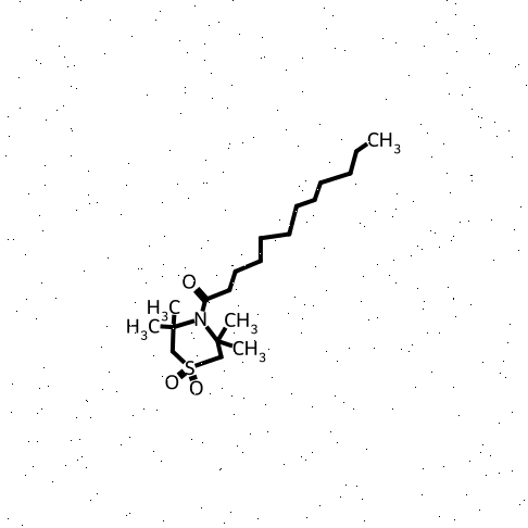 CCCCCCCCCCCC(=O)N1C(C)(C)CS(=O)(=O)CC1(C)C